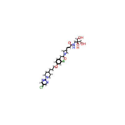 O=C(C=CC1CN(C(=O)Cc2ccc(OCCCC3CCN(c4ncc(Cl)cn4)CC3)cc2F)C1)NCC(O)(CO)CO